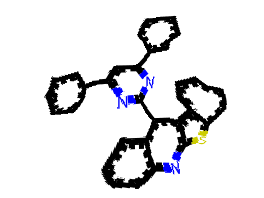 c1ccc(-c2cc(-c3ccccc3)nc(-c3c4ccccc4nc4sc5ccccc5c34)n2)cc1